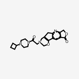 O=C1OCc2nc3c(cc21)C1=C(C3)CN(CC(=O)N2CCN(C3CCC3)CC2)CO1